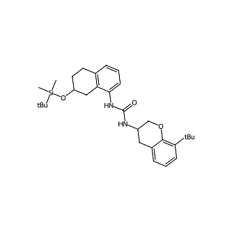 CC(C)(C)c1cccc2c1OCC(NC(=O)Nc1cccc3c1CC(O[Si](C)(C)C(C)(C)C)CC3)C2